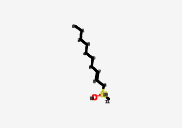 CCCCCCCC=CC[S+](C)[O-]